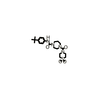 CC(C)(C)c1ccc(NC(=O)N2CCCN(C(=O)N3CCS(=O)(=O)CC3)CC2)cc1